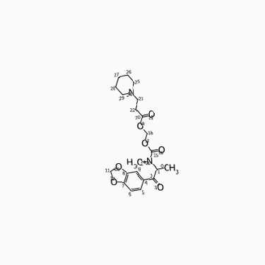 CC(C(=O)c1ccc2c(c1)OCO2)N(C)C(=O)OCOC(=O)CCN1CCCCC1